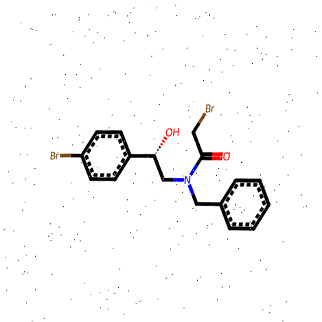 O=C(CBr)N(Cc1ccccc1)C[C@@H](O)c1ccc(Br)cc1